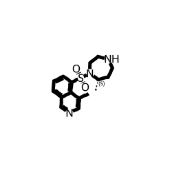 Cc1cncc2cccc(S(=O)(=O)N3CCNCC[C@@H]3C)c12